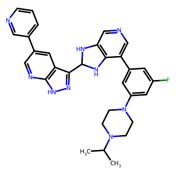 CC(C)N1CCN(c2cc(F)cc(-c3cncc4c3NC(c3n[nH]c5ncc(-c6cccnc6)cc35)N4)c2)CC1